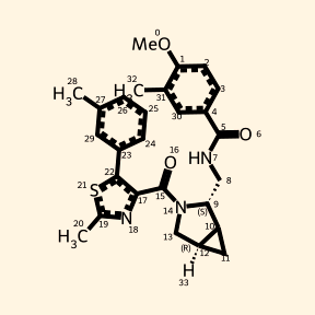 COc1ccc(C(=O)NC[C@@H]2C3C[C@H]3CN2C(=O)c2nc(C)sc2-c2cccc(C)c2)cc1C